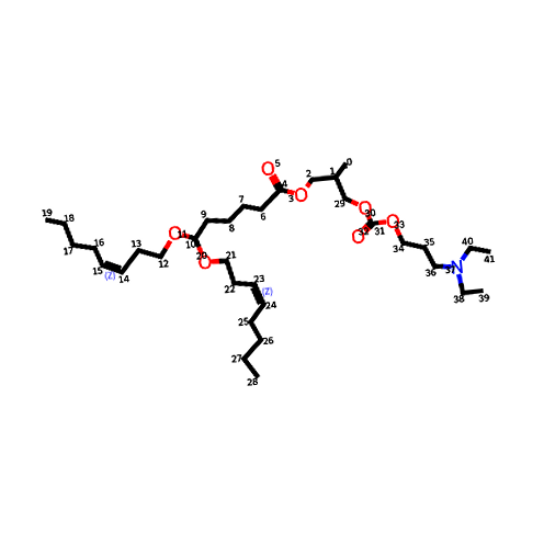 [CH2]C(COC(=O)CCCCC(OCC/C=C\CCCC)OCC/C=C\CCCC)COC(=O)OCCCN(CC)CC